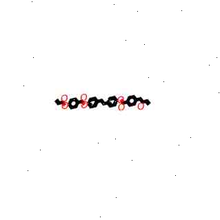 C=CC(=O)CC1CCC(C(=O)Oc2ccc(CCc3ccc(OC(=O)C4CCC(OC(=O)C=C)CC4)cc3)cc2)CC1